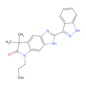 CC(=O)OCCN1C(=O)C(C)(C)c2cc3nc(-c4n[nH]c5ccccc45)[nH]c3cc21